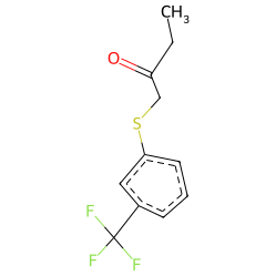 CCC(=O)CSc1cccc(C(F)(F)F)c1